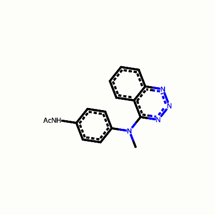 CC(=O)Nc1ccc(N(C)c2nnnc3ccccc23)cc1